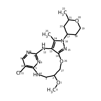 COC1CNc2nc(ncc2Cl)Nc2c(nn(C3CCOC(C)C3)c2C)OC1